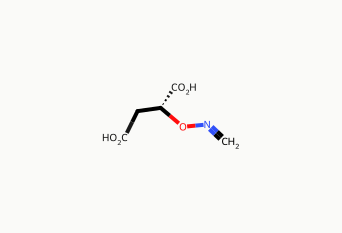 C=NO[C@H](CC(=O)O)C(=O)O